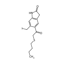 CCCCSCC(=O)c1cc2c(cc1CI)NC(=O)C2